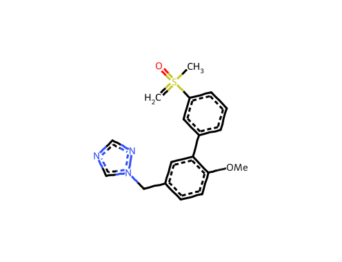 C=S(C)(=O)c1cccc(-c2cc(Cn3cncn3)ccc2OC)c1